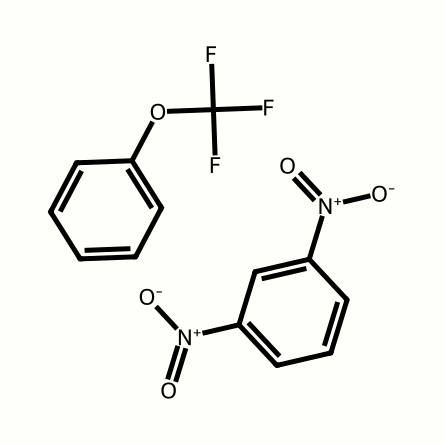 FC(F)(F)Oc1ccccc1.O=[N+]([O-])c1cccc([N+](=O)[O-])c1